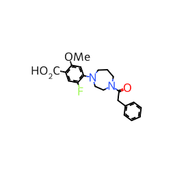 COc1cc(N2CCCN(C(=O)Cc3ccccc3)CC2)c(F)cc1C(=O)O